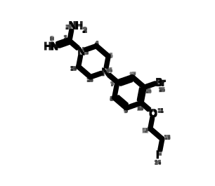 N=C(N)N1CCN(c2ccc(OCCF)c(Br)c2)CC1